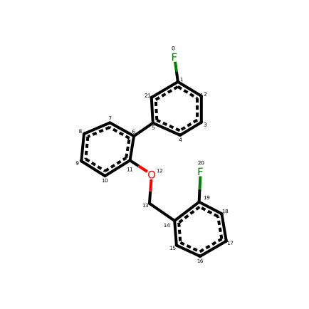 Fc1[c]ccc(-c2ccccc2OCc2ccccc2F)c1